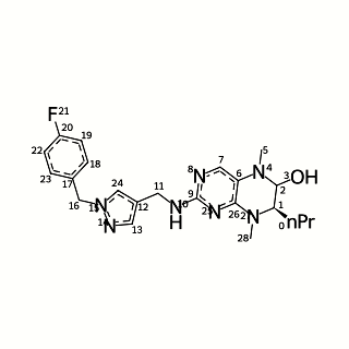 CCC[C@@H]1C(O)N(C)c2cnc(NCc3cnn(Cc4ccc(F)cc4)c3)nc2N1C